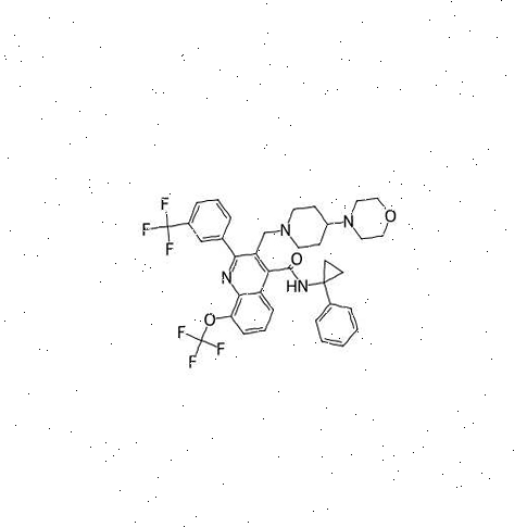 O=C(NC1(c2ccccc2)CC1)c1c(CN2CCC(N3CCOCC3)CC2)c(-c2cccc(C(F)(F)F)c2)nc2c(OC(F)(F)F)cccc12